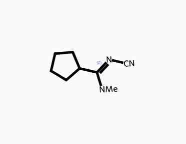 CN/C(=N\C#N)C1CCCC1